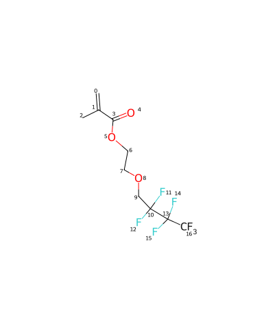 C=C(C)C(=O)OCCOCC(F)(F)C(F)(F)C(F)(F)F